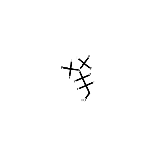 OCC(F)(F)C(F)(F)N(C(F)(F)F)C(F)(F)F